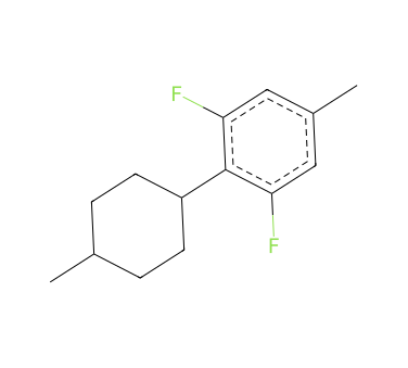 Cc1cc(F)c(C2CCC(C)CC2)c(F)c1